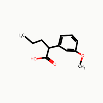 CCCC(C(=O)O)c1cccc(OC)c1